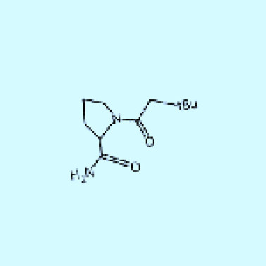 CC(C)(C)CC(=O)N1CCCC1C(N)=O